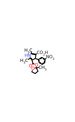 CC1=C(C(=O)O)C(c2cccc([N+](=O)[O-])c2)C(C(=O)OC2(C)CCCO2)=C(C)N1